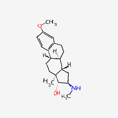 CN[C@@H]1C[C@H]2[C@@H]3CCc4cc(OC)ccc4[C@H]3CC[C@]2(C)[C@H]1O